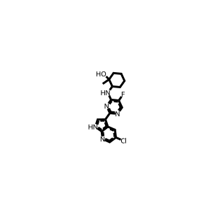 CC1(O)CCCCC1Nc1nc(-c2c[nH]c3ncc(Cl)cc23)ncc1F